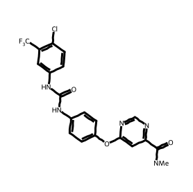 CNC(=O)c1cc(Oc2ccc(NC(=O)Nc3ccc(Cl)c(C(F)(F)F)c3)cc2)ncn1